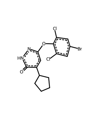 O=c1[nH]nc(Oc2c(Cl)cc(Br)cc2Cl)cc1C1CCCC1